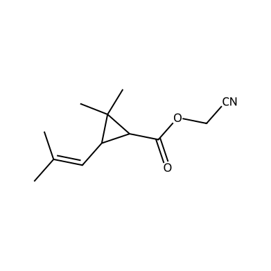 CC(C)=CC1C(C(=O)OCC#N)C1(C)C